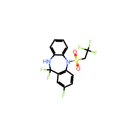 O=S(=O)(CC(F)(F)F)N1c2ccccc2NC(F)(F)c2cc(F)ccc21